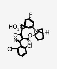 O=C(O)c1cc(F)cc(N2C[C@H]3CC[C@]2(OC(=O)c2c(-c4c(Cl)cccc4Cl)noc2C2CC2)C3)c1